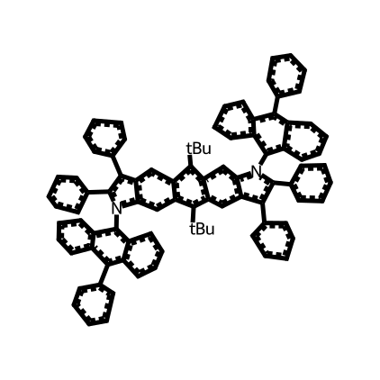 CC(C)(C)c1c2cc3c(-c4ccccc4)c(-c4ccccc4)n(-c4c5ccccc5c(-c5ccccc5)c5ccccc45)c3cc2c(C(C)(C)C)c2cc3c(-c4ccccc4)c(-c4ccccc4)n(-c4c5ccccc5c(-c5ccccc5)c5ccccc45)c3cc12